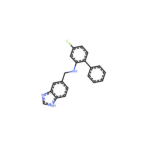 Fc1ccc(-c2ccccc2)c(NCc2ccc3[nH]cnc3c2)c1